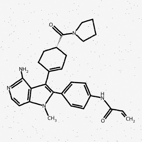 C=CC(=O)Nc1ccc(-c2c(C3=CC[C@@H](C(=O)N4CCCC4)CC3)c3c(N)nccc3n2C)cc1